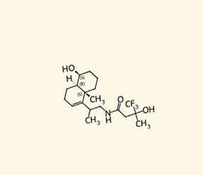 CC(CNC(=O)CC(C)(O)C(F)(F)F)C1=CCC[C@H]2[C@@H](O)CCC[C@]12C